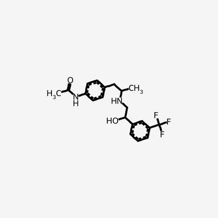 CC(=O)Nc1ccc(CC(C)NCC(O)c2cccc(C(F)(F)F)c2)cc1